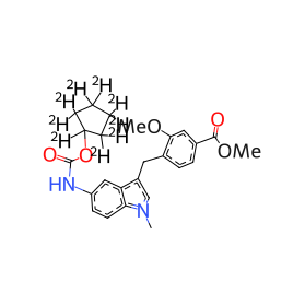 [2H]C1([2H])C([2H])([2H])C([2H])([2H])C([2H])(OC(=O)Nc2ccc3c(c2)c(Cc2ccc(C(=O)OC)cc2OC)cn3C)C1([2H])[2H]